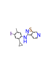 Cc1cc(Nc2nsc3cnccc23)c(C2CC2)cc1I